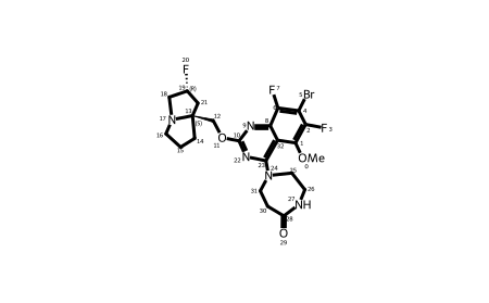 COc1c(F)c(Br)c(F)c2nc(OC[C@@]34CCCN3C[C@H](F)C4)nc(N3CCNC(=O)CC3)c12